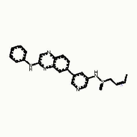 C=S(C/C=C\C)Nc1cncc(-c2ccc3ncc(Nc4ccccc4)nc3c2)c1